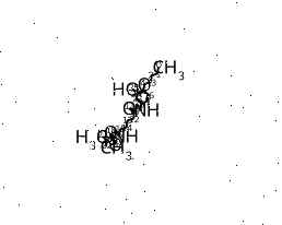 CCCCOc1ccc(NC(=O)CCCCNS(=O)(=O)C(C)C)cc1O